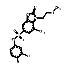 COCCn1c(=O)oc2cc(S(=O)(=O)Nc3ccc(F)c(Cl)c3)cc(C)c21